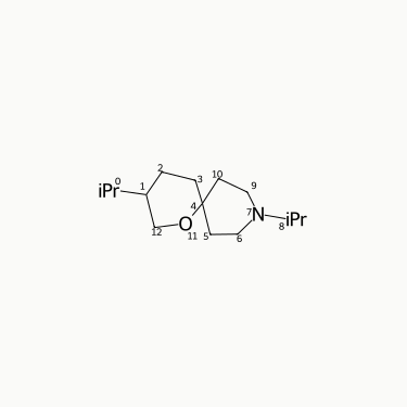 CC(C)C1CCC2(CCN(C(C)C)CC2)OC1